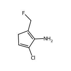 NC1=C(CF)CC=C1Cl